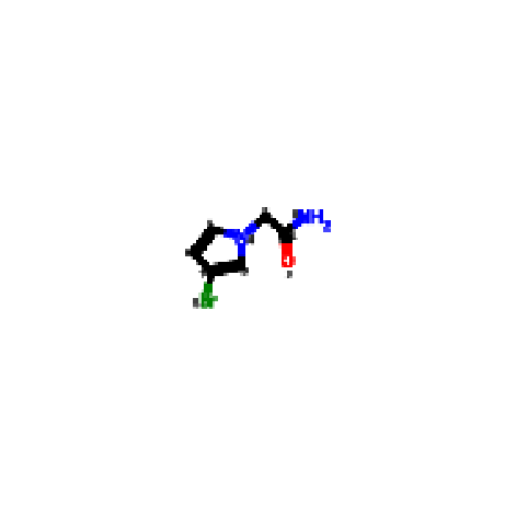 NC(=O)Cn1ccc(Br)c1